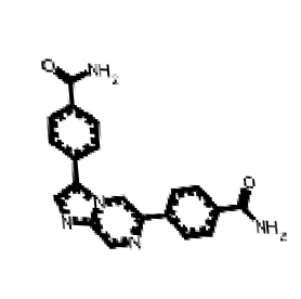 NC(=O)c1ccc(-c2cn3c(-c4ccc(C(N)=O)cc4)cnc3cn2)cc1